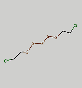 ClCCSSSSSCCCl